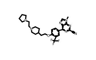 Cn1cnc2c(-c3ccc(OCCC4CCN(CCN5CCCC5)CC4)c(C(F)(F)F)c3)nc(C#N)nc21